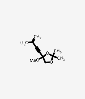 C=C(C)C#CC1(OC)COC(C)(C)O1